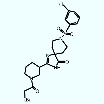 CC(C)(C)CC(=O)N1CCCC(C2=NC3(CCN(S(=O)(=O)c4cccc(Cl)c4)CC3)C(=O)N2)C1